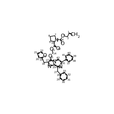 C=CCOC(=O)N1CCCC1C(=O)OCOc1c(Cc2ccco2)nc2c(Cc3ccccc3)nc(-c3ccccc3)cn12